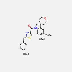 COc1ccc(Cc2nc(C(=O)NCC3(c4ccc(OC)c(OC)c4)CCOCC3)cs2)cc1